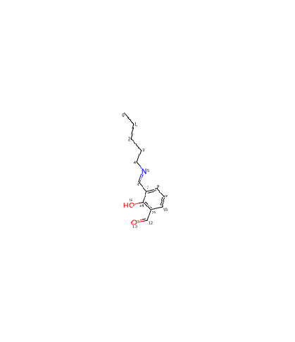 CCCCC/N=C/c1cccc(C=O)c1O